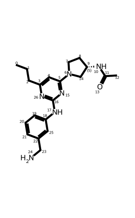 CCCc1cc(N2CC[C@H](NC(C)=O)C2)nc(Nc2cccc(CN)c2)n1